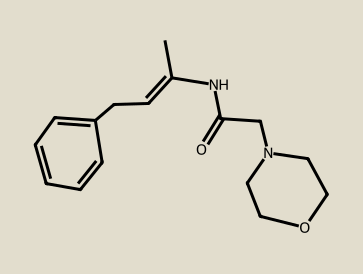 C/C(=C\Cc1ccccc1)NC(=O)CN1CCOCC1